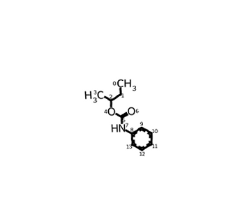 CCC(C)OC(=O)Nc1ccccc1